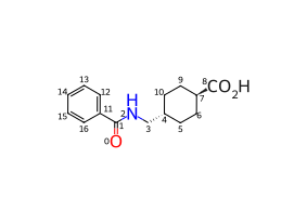 O=C(NC[C@H]1CC[C@H](C(=O)O)CC1)c1ccccc1